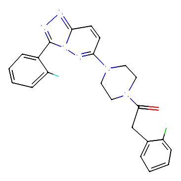 O=C(Cc1ccccc1Cl)N1CCN(c2ccc3nnc(-c4ccccc4F)n3n2)CC1